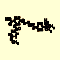 COc1ccc(C(=O)Oc2cc(OCCO/N=C/c3ccc(C(C)(C)C)cc3)ccc2C(=O)O)cc1